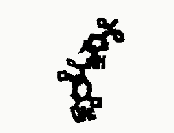 CC(=O)Oc1cc(Cl)c(C(=O)Nc2ncc(S(C)(=O)=O)s2)cc1Cl